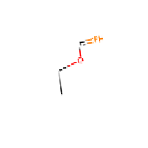 CCOC=P